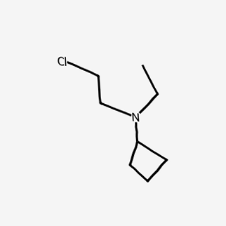 CCN(CCCl)C1CCC1